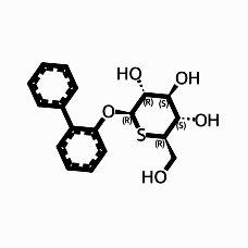 OC[C@H]1S[C@@H](Oc2ccccc2-c2ccccc2)[C@H](O)[C@@H](O)[C@@H]1O